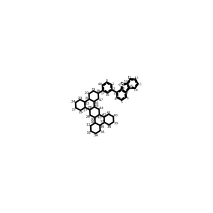 c1cc(-c2cccc3c2sc2ccccc23)cc(C2CCC3C4CCCCC4C4CC5C6CCCCC6C6CCCCC6C5CC4C3C2)c1